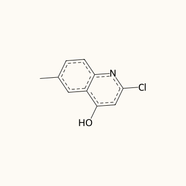 Cc1ccc2nc(Cl)cc(O)c2c1